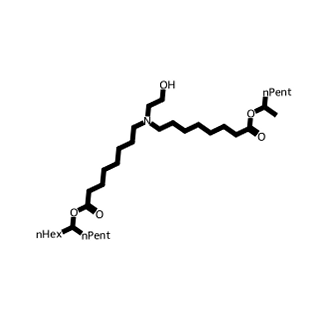 CCCCCCC(CCCCC)OC(=O)CCCCCCCN(CCO)CCCCCCCC(=O)OC(C)CCCCC